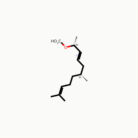 CC(C)=CCC[C@@H](C)C/C=C/[C@@H](C)OC(=O)O